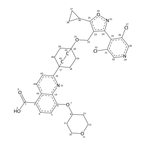 O=C(O)c1ccc(OC2CCOCC2)c2nc(C34CCC(OCc5c(-c6c(Cl)cncc6Cl)noc5C5CC5)(CC3)CC4)ccc12